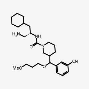 COCCCOC(c1cccc(C#N)c1)[C@@H]1CCCN(C(=O)N[C@H](CN)CC2CCCCC2)C1